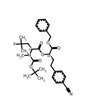 CN(C(=O)OC(C)(C)C)[C@@H](CC(C)(C)F)C(=O)O[C@H](CCc1ccc(C#N)cc1)C(=O)OCc1ccccc1